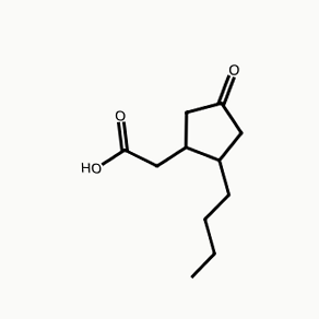 CCCCC1CC(=O)CC1CC(=O)O